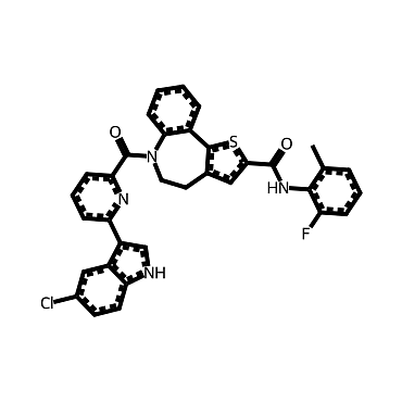 Cc1cccc(F)c1NC(=O)c1cc2c(s1)-c1ccccc1N(C(=O)c1cccc(-c3c[nH]c4ccc(Cl)cc34)n1)CC2